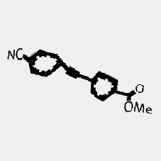 COC(=O)c1ccc(C#Cc2ccc(C#N)cc2)cc1